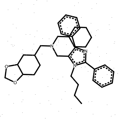 CCCCn1c(-c2ccccc2)nc(-c2ccccc2)c1CN(CC1CCCCC1)CC1CCC2OCOC2C1